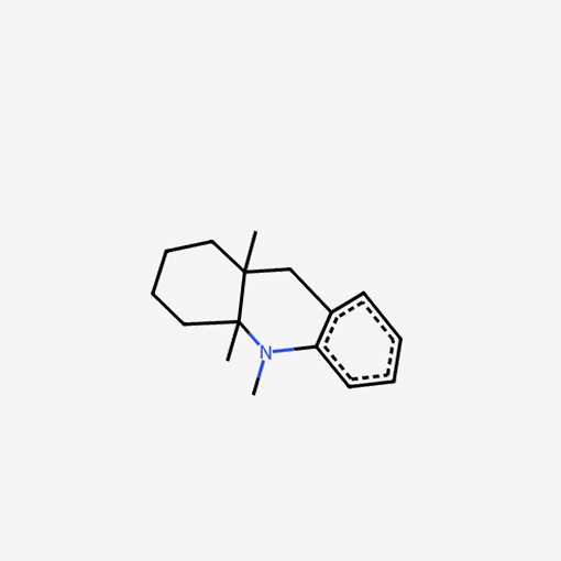 CN1c2ccccc2CC2(C)CCCCC12C